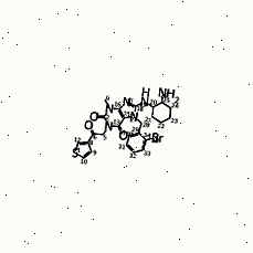 Cn1c(=O)n(CC(=O)c2ccsc2)c(=O)c2c1nc(NC1CCCCC1N)n2Cc1ccccc1Br